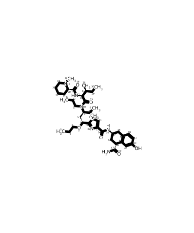 CCCO[C@H](C[C@H](C(C)C)N(CCC)C(=O)[C@@H](NC(=O)[C@H]1CCCCN1C)[C@@H](C)CC)c1nc(C(=O)N[C@H]2Cc3ccc(O)cc3[C@H](C(N)=O)C2)cs1